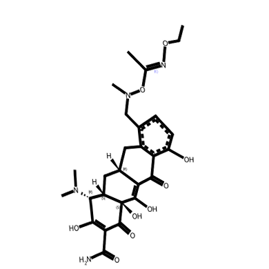 CCO/N=C(\C)ON(C)Cc1ccc(O)c2c1C[C@H]1C[C@H]3[C@@H](N(C)C)C(O)=C(C(N)=O)C(=O)[C@@]3(O)C(O)=C1C2=O